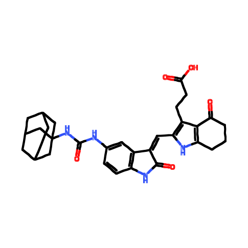 O=C(O)CCc1c(/C=C2\C(=O)Nc3ccc(NC(=O)NC45CC6CC(CC(C6)C4)C5)cc32)[nH]c2c1C(=O)CCC2